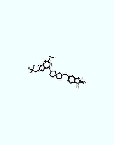 COc1nc(N2CCC3(CCN(Cc4ccc5[nH]c(=O)[nH]c5c4)C3)C2)c2cc(CC(F)(F)F)sc2n1